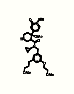 CCCCn1ccc(C2(OC)CCNCC2C(=O)N(Cc2cc(CCCOC)cc(OCCOC)c2)C2CC2)cc1=O